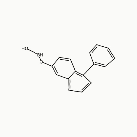 OBOc1ccc2c(-c3ccccc3)cccc2c1